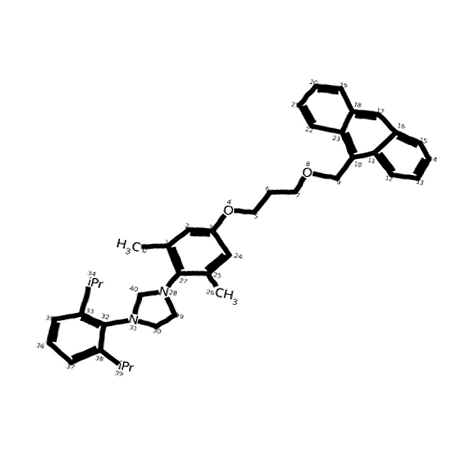 Cc1cc(OCCCOCc2c3ccccc3cc3ccccc23)cc(C)c1N1CCN(c2c(C(C)C)cccc2C(C)C)C1